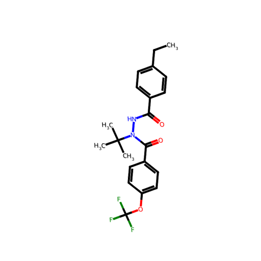 CCc1ccc(C(=O)NN(C(=O)c2ccc(OC(F)(F)F)cc2)C(C)(C)C)cc1